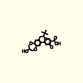 CC(C)(C)C1Cc2cc3c(cc2-c2cc(=O)c(C(=O)O)cn21)OCC(O)CO3